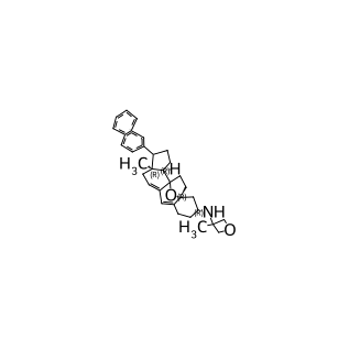 CC1(N[C@@H]2CCC3=CC4=CC[C@]5(C)C(c6ccc7ccccc7c6)CC[C@H]5C45CC[C@]3(C2)O5)COC1